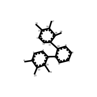 Cc1ccc(-c2[c]cccc2-c2ccc(C)c(C)c2C)c(C)c1C